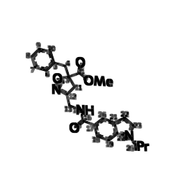 COC(=O)C1(Cc2ccccc2)CC(CNC(=O)c2ccc3c(ccn3C(C)C)c2)=NO1